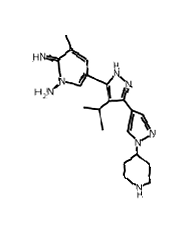 Cc1cc(-c2[nH]nc(-c3cnn(C4CCNCC4)c3)c2C(C)C)cn(N)c1=N